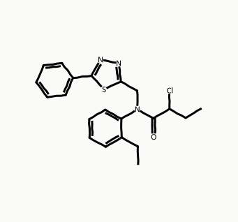 CCc1ccccc1N(Cc1nnc(-c2ccccc2)s1)C(=O)C(Cl)CC